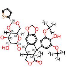 [2H]C([2H])([2H])Oc1cc([C@]2([2H])c3cc4c(cc3[C@@H](O[C@@H]3O[C@@H]5CO[C@@H](c6cccs6)O[C@H]5[C@H](O)[C@H]3O)[C@H]3COC(=O)[C@@]32[2H])OCO4)cc(OC([2H])([2H])[2H])c1O